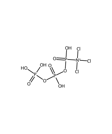 O=P(O)(O)OP(=O)(O)OP(=O)(O)[N+](Cl)(Cl)Cl